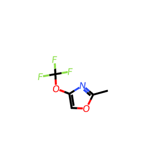 Cc1nc(OC(F)(F)F)co1